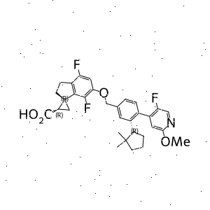 COc1cc(-c2ccc(COc3cc(F)c4c(c3F)[C@]3(CC4)C[C@H]3C(=O)O)cc2[C@@H]2CCCC2(C)C)c(F)cn1